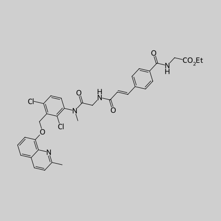 CCOC(=O)CNC(=O)c1ccc(C=CC(=O)NCC(=O)N(C)c2ccc(Cl)c(COc3cccc4ccc(C)nc34)c2Cl)cc1